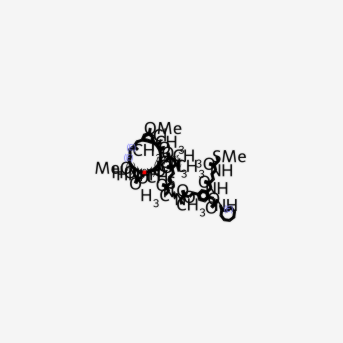 COc1cc2cc(c1Cl)N(C)C(=O)C[C@H](OC(=O)[C@H](C)N(C)C(=O)CCSC(=O)N(C)CCN(C)C(=O)OCc1ccc(OC(=O)NC3/C=C/CCCCC3)c(NC(=O)CCNC(=O)CSC)c1)[C@]1(C)O[C@H]1[C@H](C)[C@@H]1C[C@@](O)(NC(=O)O1)[C@H](OC)/C=C/C=C(\C)C2